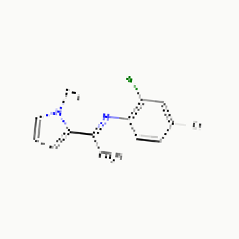 CCOC(=O)/C(=N\c1ccc(CC)cc1Br)c1cccn1C